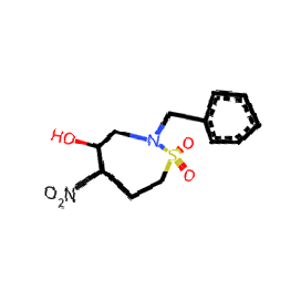 O=[N+]([O-])C1CCS(=O)(=O)N(Cc2ccccc2)CC1O